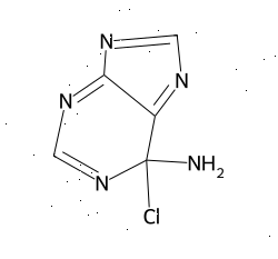 NC1(Cl)N=CN=C2N=CN=C21